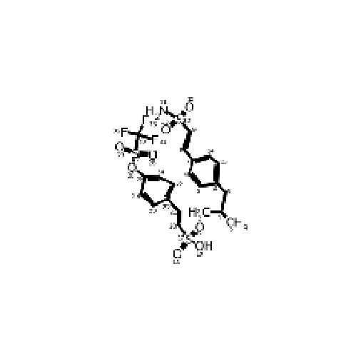 CC(C)Cc1ccc(C=CS(N)(=O)=O)cc1.O=S(=O)(O)C=Cc1ccc(OS(=O)(=O)C(F)(F)F)cc1